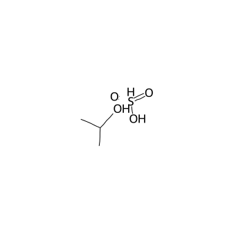 CC(C)O.O=[SH](=O)O